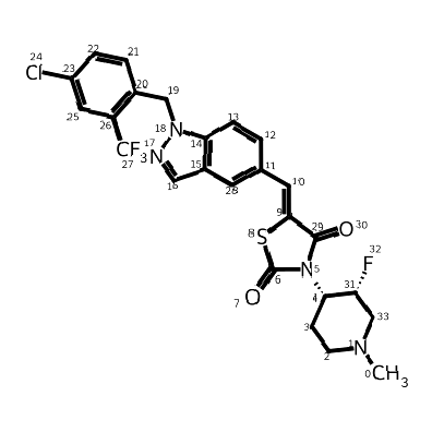 CN1CC[C@H](N2C(=O)SC(=Cc3ccc4c(cnn4Cc4ccc(Cl)cc4C(F)(F)F)c3)C2=O)[C@H](F)C1